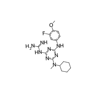 COc1ccc(Nc2nc(NC(=N)N)nc(N(C)C3CCCCC3)n2)cc1F